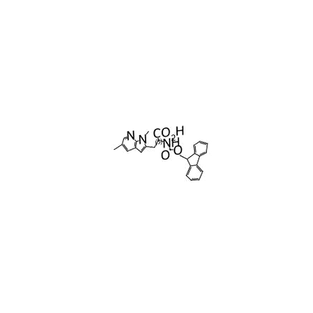 Cc1cnc2c(c1)cc(C[C@H](NC(=O)OCC1c3ccccc3-c3ccccc31)C(=O)O)n2C